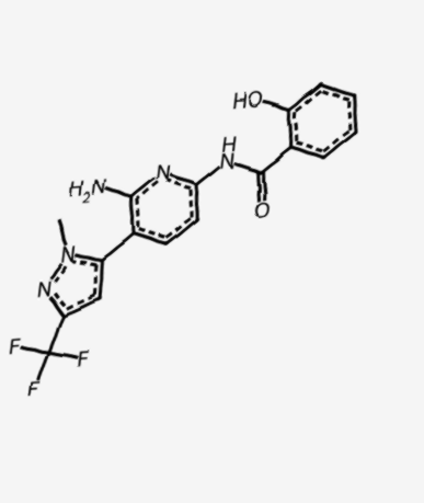 Cn1nc(C(F)(F)F)cc1-c1ccc(NC(=O)c2ccccc2O)nc1N